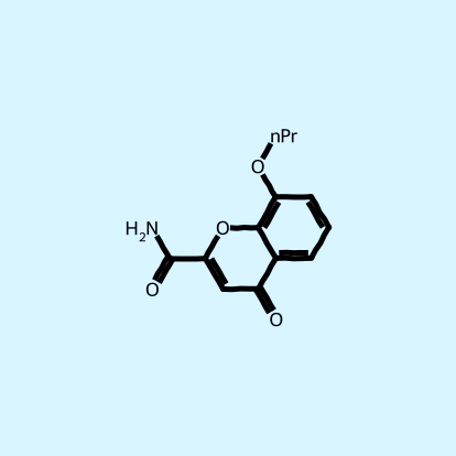 CCCOc1cccc2c(=O)cc(C(N)=O)oc12